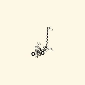 CCCCCCCCCCCCOC(=O)C(C)OC(=O)c1cccc(C(Cl)(C(=O)Nc2ccccc2)N2C(=O)CN(C(C)=O)C2=O)c1